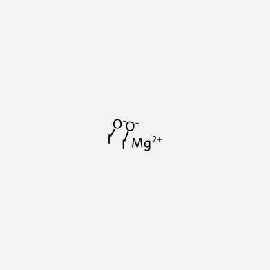 [Mg+2].[O-]I.[O-]I